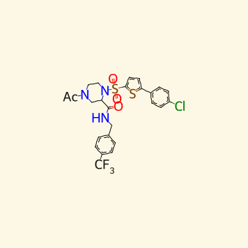 CC(=O)N1CCN(S(=O)(=O)c2ccc(-c3ccc(Cl)cc3)s2)C(C(=O)NCc2ccc(C(F)(F)F)cc2)C1